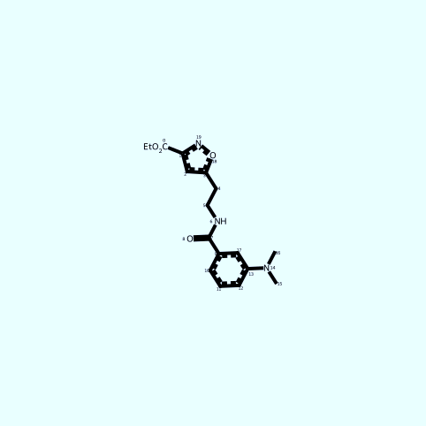 CCOC(=O)c1cc(CCNC(=O)c2cccc(N(C)C)c2)on1